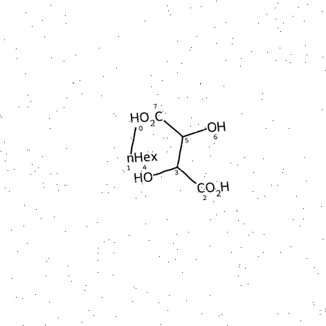 CCCCCCC.O=C(O)C(O)C(O)C(=O)O